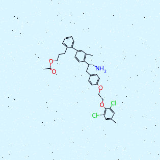 CC(=O)OCCCc1ccccc1-c1ccc(C(CN)Cc2ccc(OCCOc3c(Cl)cc(C)cc3Cl)cc2)c(C)c1